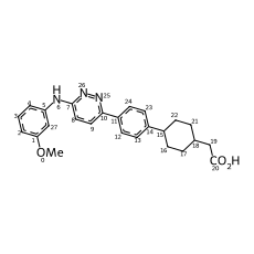 COc1cccc(Nc2ccc(-c3ccc(C4CCC(CC(=O)O)CC4)cc3)nn2)c1